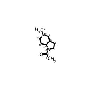 CC(=O)N1CCC2CN(C)CCC21